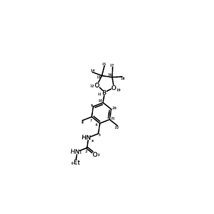 CCNC(=O)NCc1c(C)cc(B2OC(C)(C)C(C)(C)O2)cc1C